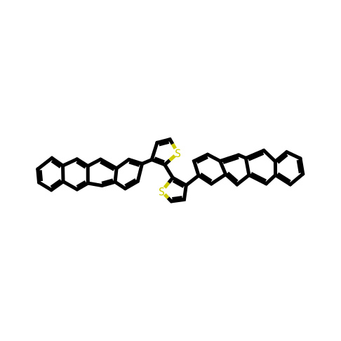 c1ccc2cc3cc4cc(-c5ccsc5-c5sccc5-c5ccc6cc7cc8ccccc8cc7cc6c5)ccc4cc3cc2c1